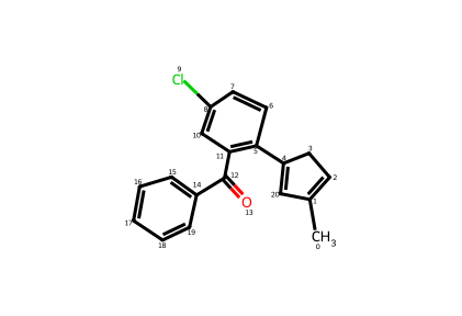 CC1=CCC(c2ccc(Cl)cc2C(=O)c2ccccc2)=C1